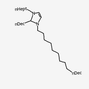 CCCCCCCCCCCCCCCCCCCN1C=CN(CCCCCCC)C1CCCCCCCCCC